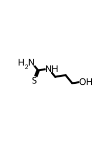 NC(=S)NCCCO